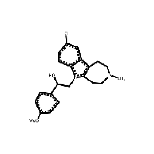 COc1ccc(C(O)Cn2c3c(c4cc(Cl)ccc42)CCN(C)CC3)cc1